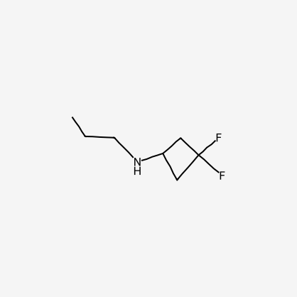 CCCNC1CC(F)(F)C1